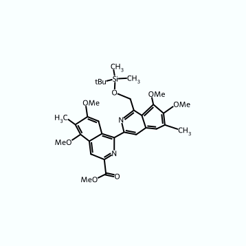 COC(=O)c1cc2c(OC)c(C)c(OC)cc2c(-c2cc3cc(C)c(OC)c(OC)c3c(CO[Si](C)(C)C(C)(C)C)n2)n1